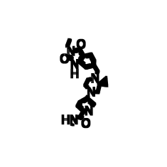 CCn1c(=O)[nH]c2cc(CN3CCN(c4ccc(C(=O)NC)nc4)CC34CC4)ccc2c1=O